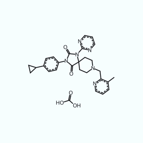 Cc1cccnc1CN1CCC2(CC1)C(=O)N(c1ccc(C3CC3)cc1)C(=O)N2c1ncccn1.O=C(O)O